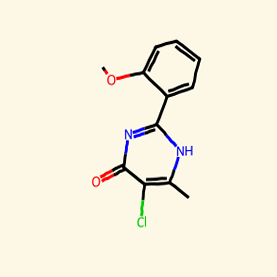 COc1ccccc1-c1nc(=O)c(Cl)c(C)[nH]1